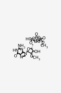 CO[C@@H]1[C@H](O)[C@@H](COP(=O)(O)OP(=O)(O)OP(=O)(O)OC)O[C@H]1n1cnc2c(=O)[nH]c(N)nc21